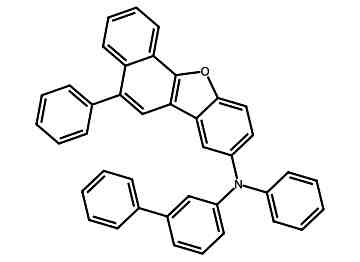 c1ccc(-c2cccc(N(c3ccccc3)c3ccc4oc5c6ccccc6c(-c6ccccc6)cc5c4c3)c2)cc1